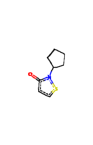 O=c1ccsn1C1CCCC1